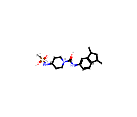 CC1CC(C)c2cc(NC(=O)N3CCC(NS(=O)(=O)C(C)C)CC3)ccc21